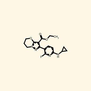 CCOC(=O)c1c(-c2ccc(NC3CC3)nc2F)nn2c1OCCC2